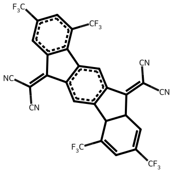 N#CC(C#N)=C1c2cc3c(cc2-c2c1cc(C(F)(F)F)cc2C(F)(F)F)C(=C(C#N)C#N)C1C=C(C(F)(F)F)C=C(C(F)(F)F)C31